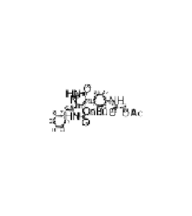 CCCCOC(=O)NC(Cc1ccccc1)c1cc(-c2ccc(NC(=O)COC(C)=O)cc2)c(=O)[nH]n1